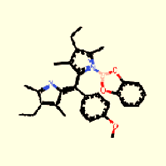 CCC1=C(C)/C(=C(\c2ccc(OC)cc2)c2c(C)c(CC)c(C)n2B2Oc3ccccc3O2)N=C1C